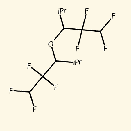 CC(C)C(OC(C(C)C)C(F)(F)C(F)F)C(F)(F)C(F)F